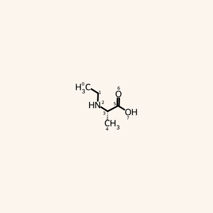 CCN[C@@H](C)C(=O)O